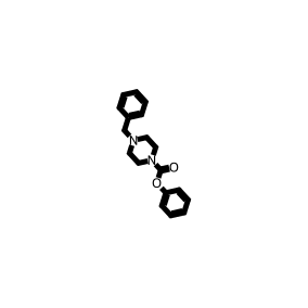 O=C(Oc1ccccc1)N1CCN(Cc2ccccc2)CC1